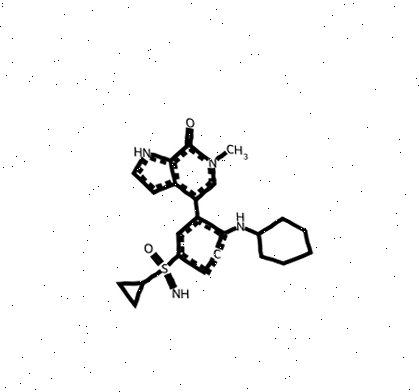 Cn1cc(-c2cc(S(=N)(=O)C3CC3)ccc2NC2CCCCC2)c2cc[nH]c2c1=O